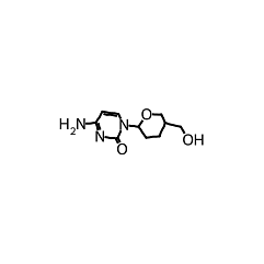 Nc1ccn(C2CCC(CO)CO2)c(=O)n1